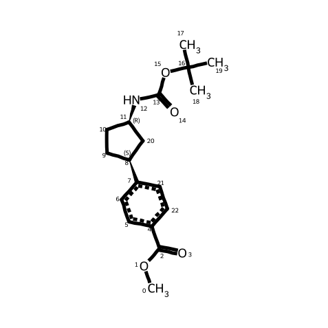 COC(=O)c1ccc([C@H]2CC[C@@H](NC(=O)OC(C)(C)C)C2)cc1